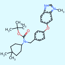 Cn1cnc2ccc(Oc3ccc(CN(C(=O)OC(C)(C)C)C4CCC(C)(C)CC4)cc3)cc21